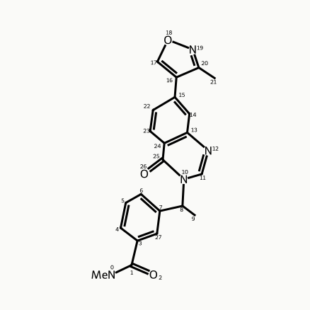 CNC(=O)c1cccc(C(C)n2cnc3cc(-c4conc4C)ccc3c2=O)c1